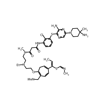 C/C=C(/S/C=N\C)C1=CCC(OCCN(CC)CCN(C)C(=O)CC(=O)Nc2cccc(Sc3ncc(N4CCC(C)(N)CC4)nc3N)c2Cl)=C(CNC)C=C1